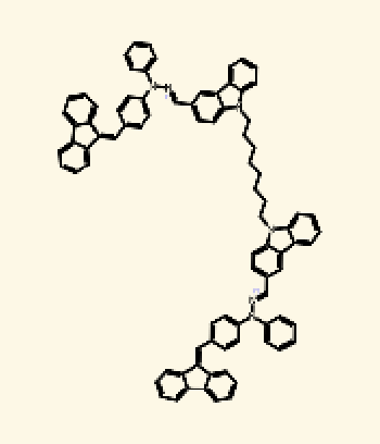 C(=C1c2ccccc2-c2ccccc21)c1ccc(N(/N=C/c2ccc3c(c2)c2ccccc2n3CCCCCCCCn2c3ccccc3c3cc(/C=N/N(c4ccccc4)c4ccc(C=C5c6ccccc6-c6ccccc65)cc4)ccc32)c2ccccc2)cc1